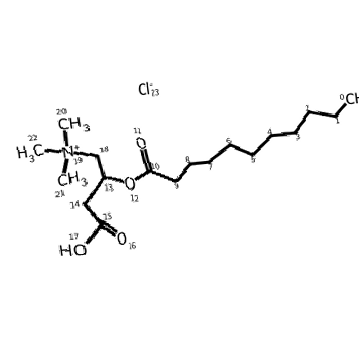 CCCCCCCCCCC(=O)OC(CC(=O)O)C[N+](C)(C)C.[Cl-]